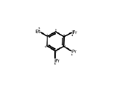 CCc1cc(C(C)C)c(C(C)C)c(C(C)C)c1